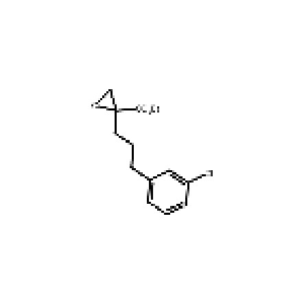 CCOC(=O)C1(CCCc2cccc(Cl)c2)CO1